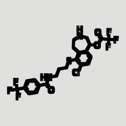 O=C(NCCCSc1c(Cl)ccc2c1CCNCC2OC(=O)C(F)(F)F)c1ccc(C(F)(F)F)cc1